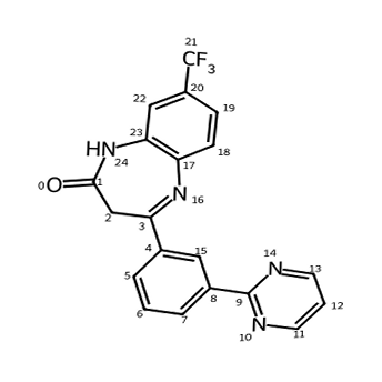 O=C1CC(c2cccc(-c3ncccn3)c2)=Nc2ccc(C(F)(F)F)cc2N1